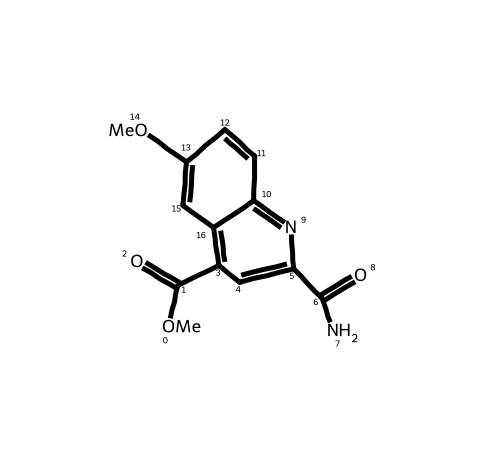 COC(=O)c1cc(C(N)=O)nc2ccc(OC)cc12